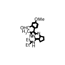 CCC(CC)Nc1c2c(nc3c(-c4ccc(OC)cc4C=O)c(C)nn13)CCC2